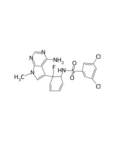 Cn1cc(C2(F)C=CC=CC2NS(=O)(=O)c2cc(Cl)cc(Cl)c2)c2c(N)ncnc21